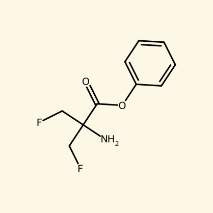 NC(CF)(CF)C(=O)Oc1ccccc1